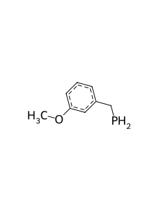 COc1cccc(CP)c1